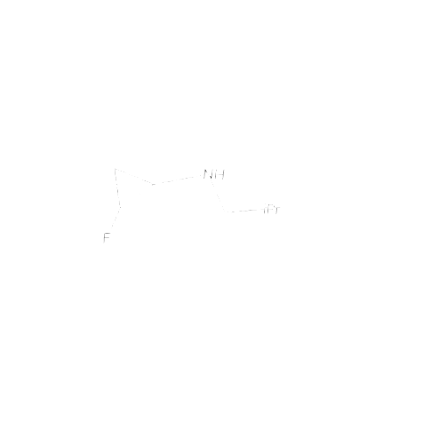 CC(C)CNC1CC1F